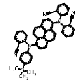 C[Si](C)(C)c1ccc(N(c2ccccc2C#N)c2ccc3ccc4c(N(c5ccccc5C#N)c5ccccc5C#N)ccc5ccc2c3c54)cc1